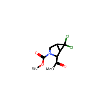 COC(=O)C1C2C(CN1C(=O)OC(C)(C)C)C2(Cl)Cl